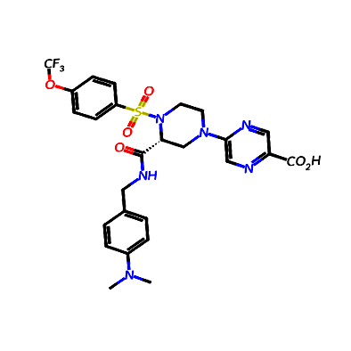 CN(C)c1ccc(CNC(=O)[C@H]2CN(c3cnc(C(=O)O)cn3)CCN2S(=O)(=O)c2ccc(OC(F)(F)F)cc2)cc1